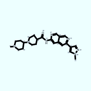 CN1CCC(N2CCC(C(=O)Nc3cc4cc(-c5cnn(C)c5)ncc4cn3)CC2)CC1